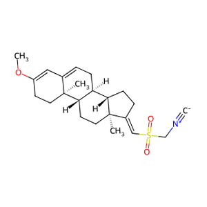 [C-]#[N+]CS(=O)(=O)C=C1CC[C@H]2[C@@H]3CC=C4C=C(OC)CC[C@]4(C)[C@H]3CC[C@]12C